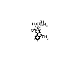 COc1ccccc1C1CCN(C(=O)OC(C)(C)C)C(C=O)C1